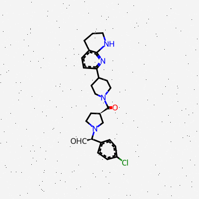 O=C[C@H](c1ccc(Cl)cc1)N1CC[C@@H](C(=O)N2CCC(c3ccc4c(n3)NCCC4)CC2)C1